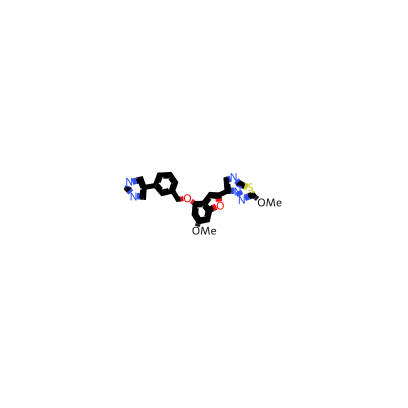 COc1cc(OCc2cccc(-c3cncnc3)c2)c2cc(-c3cnc4sc(OC)nn34)oc2c1